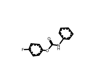 O=C(Nc1ccccc1)Oc1ccc(F)cc1